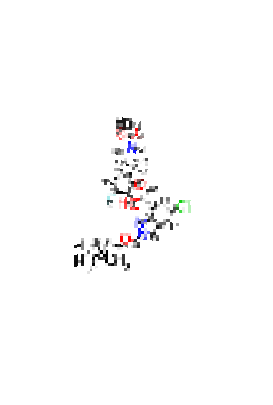 CC(C)(C)OC(=O)N1CCC(COCC(O)c2cc(Cl)cc3cn(COCC[Si](C)(C)C)nc23)(c2ccc(F)cc2)CC1